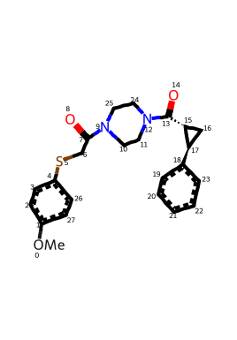 COc1ccc(SCC(=O)N2CCN(C(=O)[C@@H]3C[C@H]3c3ccccc3)CC2)cc1